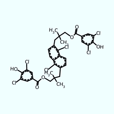 CC(C)(COC(=O)c1cc(Cl)c(O)c(Cl)c1)Cc1ccc2c(Cl)c(CC(C)(C)COC(=O)c3cc(Cl)c(O)c(Cl)c3)ccc2c1Cl